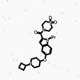 CC(C)n1c(C(=O)N2CCS(=O)(=O)CC2)cc2cc(OC3CCN(C4CCC4)CC3)ccc21